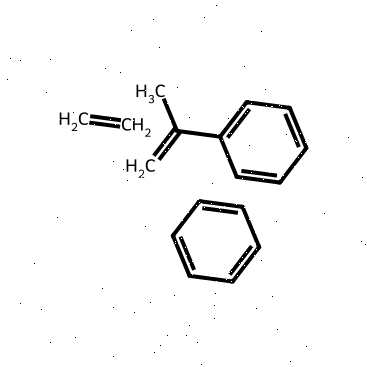 C=C.C=C(C)c1ccccc1.c1ccccc1